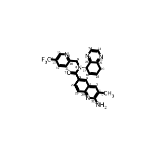 Cc1cc2cc(C(=O)N(Cc3ccc(C(F)(F)F)cn3)[C@H]3C=CCc4nccnc43)ccc2nc1N